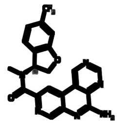 CN(C(=O)c1cc2c(cn1)nc(N)c1ncncc12)[C@@H]1COc2cc(C(F)(F)F)ccc21